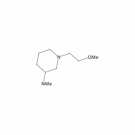 CNC1CCCN(CCOC)C1